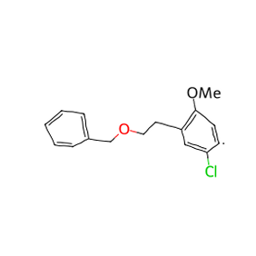 COc1c[c]c(Cl)cc1CCOCc1ccccc1